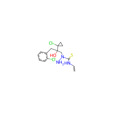 C=CNC(=S)N(N)CC(O)(Cc1ccccc1Cl)C1(Cl)CC1